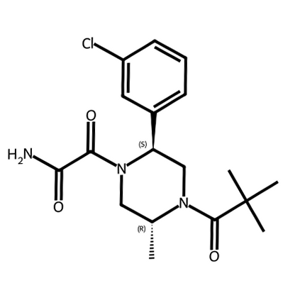 C[C@@H]1CN(C(=O)C(N)=O)[C@@H](c2cccc(Cl)c2)CN1C(=O)C(C)(C)C